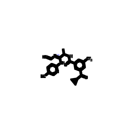 CC(NC(=O)c1cc(C(=O)C2CC2)cc(C(F)(F)F)c1)/C(=N/C=N)Nc1ccc(C#N)cn1